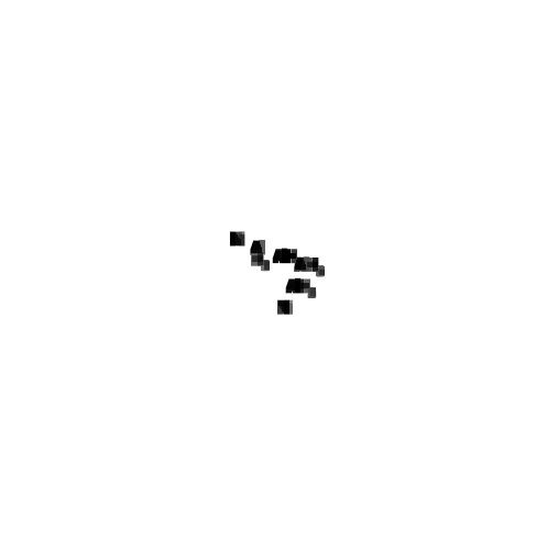 [AlH3].[AlH3].[AlH3].[AlH3].[Ni].[Ni]